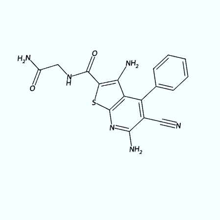 N#Cc1c(N)nc2sc(C(=O)NCC(N)=O)c(N)c2c1-c1ccccc1